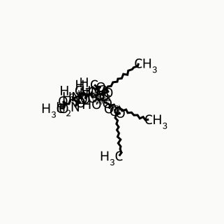 CCCCCCCCCCCCCC(=O)OC1O[C@H](COC(=O)C[C@@H](CCCCCCCCCCC)OC(=O)CCCCCCCCCCCCC)[C@@H](O)[C@@H](OC(C)C(=O)N[C@@H](C)C(=O)N[C@H](CCC(=O)OC)C(N)=O)[C@H]1NC(C)=O